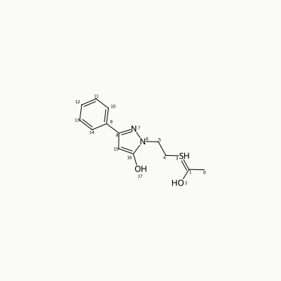 CC(O)=[SH]CCn1nc(-c2ccccc2)cc1O